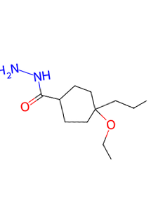 CCCC1(OCC)CCC(C(=O)NN)CC1